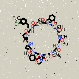 CC[C@H](C)[C@@H]1NC(=O)[C@H](CC(C)C)N(C)C(=O)C[C@@H](C(=O)N2CCOCC2)N(C)C(=O)[C@H](C2CCCCC2)N(C)C(=O)C2(CCC2)NC(=O)[C@@H]2CCCN2C(=O)[C@H](CCc2ccc(C(F)(F)F)c(Cl)c2)NC(=O)CN(C)C(=O)[C@H](CC2CCCCC2)N(C)C(=O)CN(C)C(=O)CN(C)C1=O